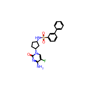 Nc1nc(=O)n([C@H]2CC[C@@H](NS(=O)(=O)c3cccc(-c4ccccc4)c3)C2)cc1F